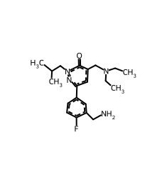 CCN(CC)Cc1cc(-c2ccc(F)c(CN)c2)nn(CC(C)C)c1=O